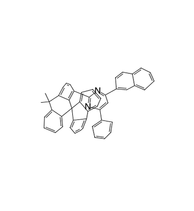 CC1(C)c2ccccc2C2(c3ccccc3-c3ccccc32)c2c(-c3nc(-c4ccccc4)cc(-c4ccc5ccccc5c4)n3)cccc21